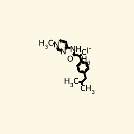 CC(C)Cc1ccc(C(C)C(=O)Nc2cc[n+](C)cn2)cc1.[I-]